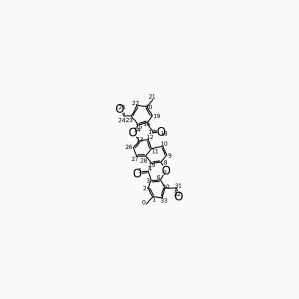 Cc1cc(C=O)c(Oc2ccc3cc(Oc4c(C=O)cc(C)cc4C=O)ccc3c2)c(C=O)c1